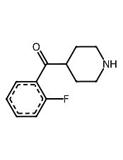 O=C(c1ccccc1F)C1CCNCC1